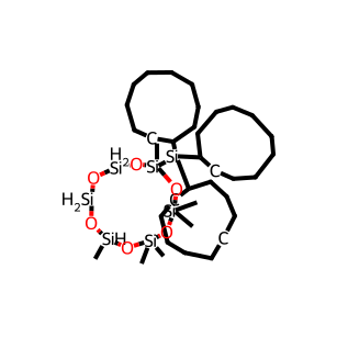 C[SiH]1O[SiH2]O[SiH2]O[Si](C)([Si](C2CCCCCCCCC2)(C2CCCCCCCCC2)C2CCCCCCCCC2)O[Si](C)(C)O[Si](C)(C)O1